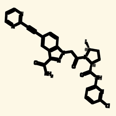 NC(=O)c1nn(CC(=O)N2[C@H](I)CC[C@H]2C(=O)Nc2cccc(Cl)n2)c2ccc(C#Cc3ncccn3)cc12